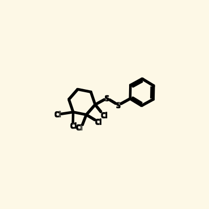 ClC1(Cl)CCCC(Cl)(SSc2ccccc2)C1(Cl)Cl